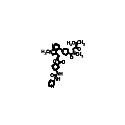 CN(C)C(=O)CN(C)C(=O)C1CCN(c2ccnc3c2c(/C=C2\Oc4ccc(NC(=O)Nc5cccnc5)cc4C2=O)cn3C)CC1